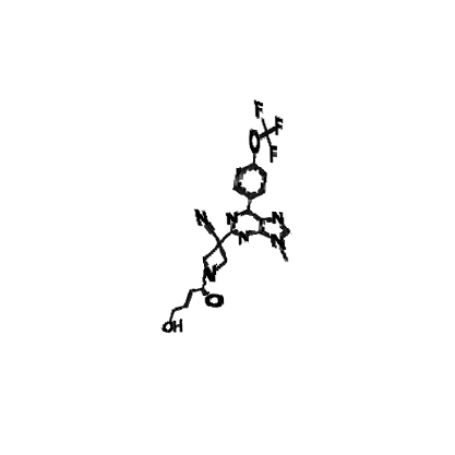 Cn1cnc2c(-c3ccc(OC(F)(F)F)cc3)nc(C3(C#N)CN(C(=O)C=CCO)C3)nc21